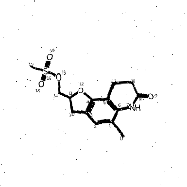 Cc1cc2c(c3c1NC(=O)CC3)OC(COS(C)(=O)=O)C2